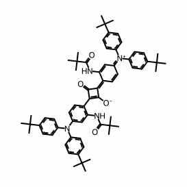 CC(C)(C)C(=O)NC1=CC(=[N+](c2ccc(C(C)(C)C)cc2)c2ccc(C(C)(C)C)cc2)C=C/C1=C1/C(=O)C(c2ccc(N(c3ccc(C(C)(C)C)cc3)c3ccc(C(C)(C)C)cc3)cc2NC(=O)C(C)(C)C)=C1[O-]